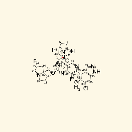 C=CC(=O)N1[C@@H]2CC[C@H]1CN(c1nc(OC[C@@]34CCCN3C[C@H](F)C4)nc3c(F)c(-c4c(C)c(Cl)cc5[nH]ncc45)ncc13)C2